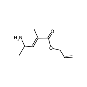 C=CCOC(=O)C(C)=CC(C)N